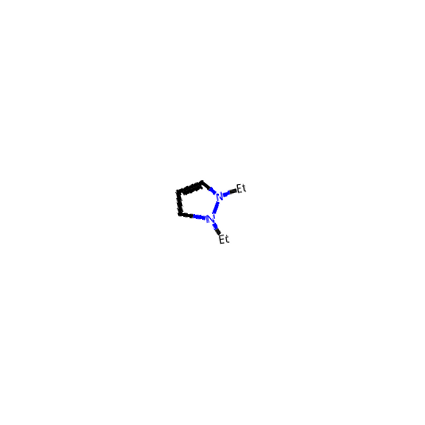 CCN1C=CCN1CC